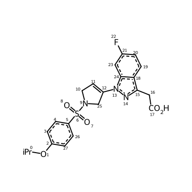 CC(C)Oc1ccc(S(=O)(=O)N2CC=C(n3nc(CC(=O)O)c4ccc(F)cc43)C2)cc1